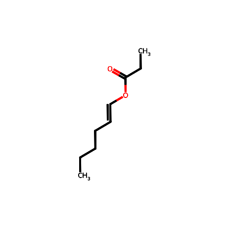 CCCCC=COC(=O)CC